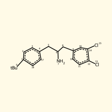 CC(C)(C)c1ccc(CC(N)Cc2ccc(Cl)c(Cl)c2)cc1